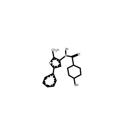 CCCC1CCC(C(=O)N(c2cc(-c3ccccc3)sc2C(=O)O)C(C)C)CC1